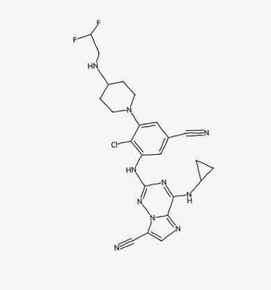 N#Cc1cc(Nc2nc(NC3CC3)c3ncc(C#N)n3n2)c(Cl)c(N2CCC(NCC(F)F)CC2)c1